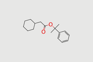 CC(C)(OC(=O)CC1CCCCC1)c1ccccc1